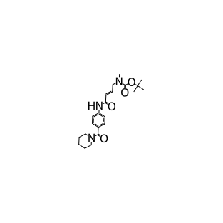 CN(C/C=C/C(=O)Nc1ccc(C(=O)N2CCCCC2)cc1)C(=O)OC(C)(C)C